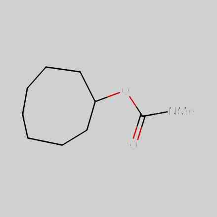 CNC(=O)OC1[CH]CCCCCC1